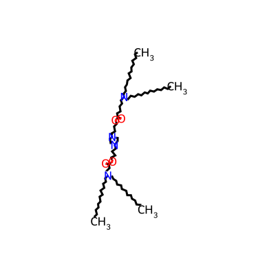 CCCCCCCCCCCCCCN(CCCCCCCCCCCCCC)CCCCCC(=O)OCCCCN1CCN(CCCCOC(=O)CCN(CCCCCCCCCCCCCC)CCCCCCCCCCCCCC)CC1